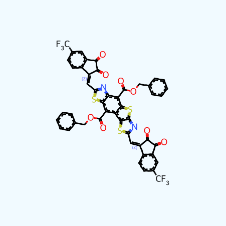 O=C1C(=O)c2cc(C(F)(F)F)ccc2/C1=C/c1nc2c(C(=O)OCc3ccccc3)c3sc4nc(/C=C5\C(=O)C(=O)c6cc(C(F)(F)F)ccc65)sc4c3c(C(=O)OCc3ccccc3)c2s1